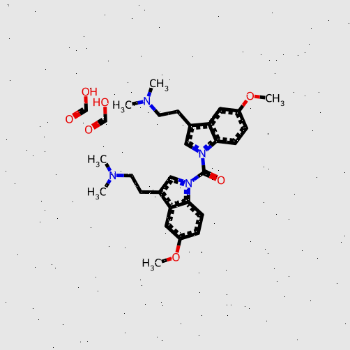 COc1ccc2c(c1)c(CCN(C)C)cn2C(=O)n1cc(CCN(C)C)c2cc(OC)ccc21.O=CO.O=CO